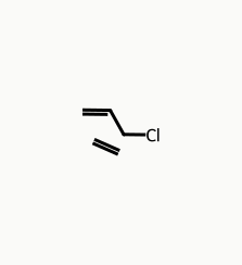 C=C.C=CCCl